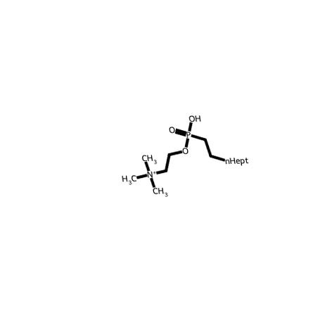 CCCCCCCCCP(=O)(O)OCC[N+](C)(C)C